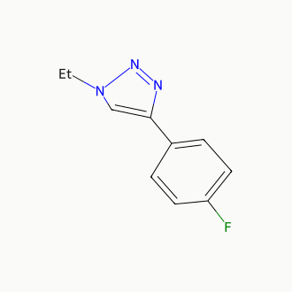 CCn1cc(-c2ccc(F)cc2)nn1